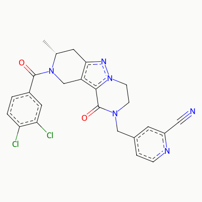 C[C@@H]1Cc2nn3c(c2CN1C(=O)c1ccc(Cl)c(Cl)c1)C(=O)N(Cc1ccnc(C#N)c1)CC3